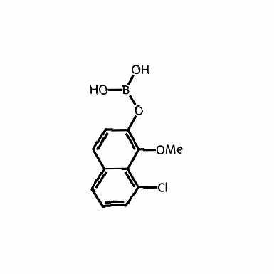 COc1c(OB(O)O)ccc2cccc(Cl)c12